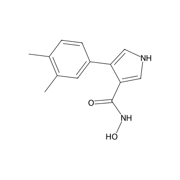 Cc1ccc(-c2c[nH]cc2C(=O)NO)cc1C